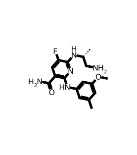 COc1cc(C)cc(Nc2nc(N[C@H](C)CN)c(F)cc2C(N)=O)c1